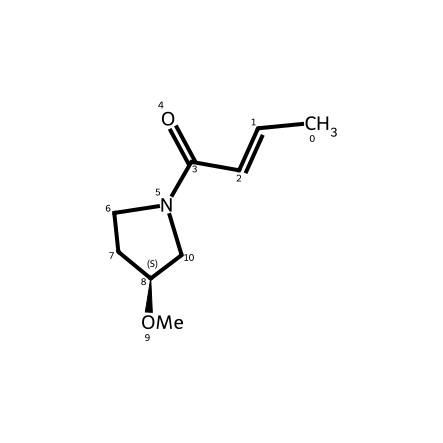 CC=CC(=O)N1CC[C@H](OC)C1